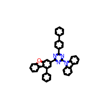 c1ccc(-c2ccc(-c3nc(-c4cc(-c5ccccc5)c5c(c4)oc4ccccc45)nc(-n4c5ccccc5c5ccccc54)n3)cc2)cc1